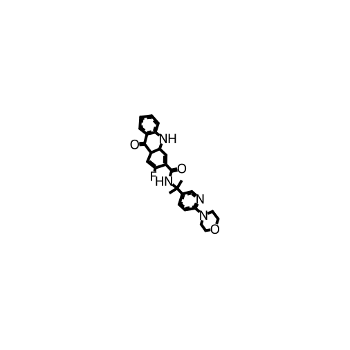 CC(C)(NC(=O)C1=CC2Nc3ccccc3C(=O)C2C=C1F)c1ccc(N2CCOCC2)nc1